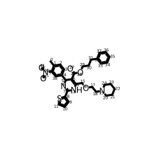 Cc1ccc(C2N=C(c3cccs3)NC(COCCN3CCCCC3)=C2C(=O)OCCCc2ccccc2)cc1[N+](=O)[O-]